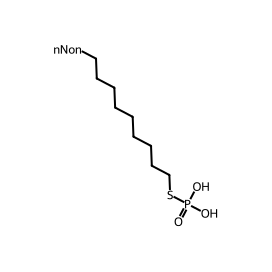 CCCCCCCCCCCCCCCCCCSP(=O)(O)O